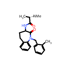 CN[C@@H](C)C(=O)NC1CCc2ccccc2N(Cc2ccccc2C)C1=O